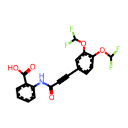 O=C(C#Cc1ccc(OC(F)F)c(OC(F)F)c1)Nc1ccccc1C(=O)O